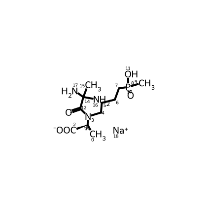 C[C@@H](C(=O)[O-])N(CCCCP(C)(=O)O)C(=O)C(C)(N)N.[Na+]